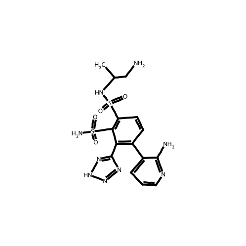 CC(CN)NS(=O)(=O)c1ccc(-c2cccnc2N)c(-c2nn[nH]n2)c1S(N)(=O)=O